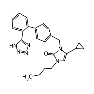 CCCCn1cc(C2CC2)n(Cc2ccc(-c3ccccc3-c3nnn[nH]3)cc2)c1=O